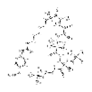 CC(=O)NCc1ccc(NC(=O)NCCCCCOC(C)(C)C(=O)C(C)OC(=O)C(C)OC(C)(C)C(C)(C)C(=O)OCC(C)(COC(C)(C)C(C)=O)C(=O)OCCC[N+](C)(C)C)cc1